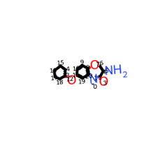 CN1C(=O)[C@@H](N)COc2ccc(OC3CCCCC3)cc21